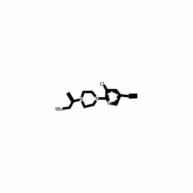 C#Cc1cnc(N2CCN(C(=C)CC(C)(C)C)CC2)c(Cl)c1